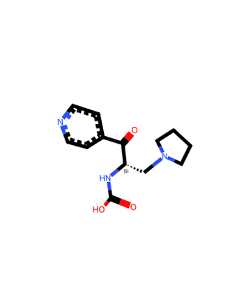 O=C(O)N[C@@H](CN1CCCC1)C(=O)c1ccncc1